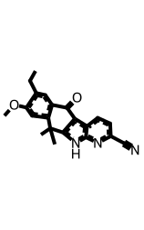 CCc1cc2c(cc1OC)C(C)(C)c1[nH]c3nc(C#N)ccc3c1C2=O